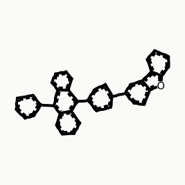 c1ccc(-c2c3ccccc3c(-c3ccc(-c4ccc5oc6ccccc6c5c4)cc3)c3ccccc23)cc1